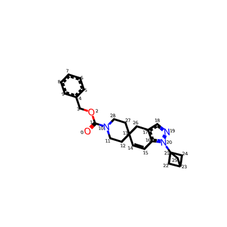 O=C(OCc1ccccc1)N1CCC2(C=Cc3c(cnn3C34CC(C3)C4)C2)CC1